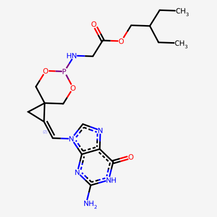 CCC(CC)COC(=O)CNP1OCC2(CO1)C/C2=C/n1cnc2c(=O)[nH]c(N)nc21